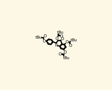 CC(C)(C)C(=O)Oc1ccc(C2=Nc3cc(OC(=O)C(C)(C)C)cc(OC(=O)C(C)(C)C)c3C(=O)C2OC(=O)C(C)(C)C)cc1